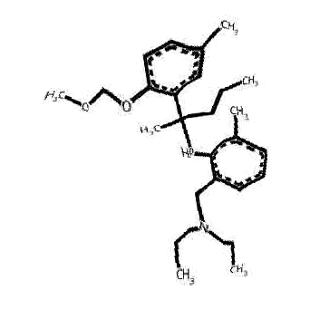 CCCC(C)(Pc1c(C)cccc1CN(CC)CC)c1cc(C)ccc1OCOC